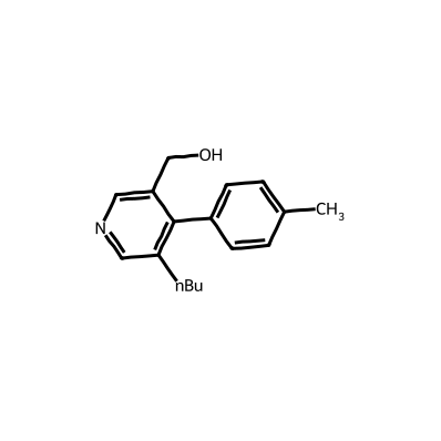 CCCCc1cncc(CO)c1-c1ccc(C)cc1